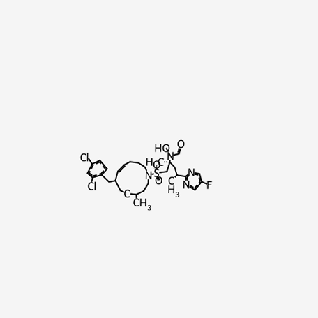 CC1CCC(Cc2ccc(Cl)cc2Cl)C=CCCCN(S(=O)(=O)C[C@](C)(C[C@H](C)c2ncc(F)cn2)N(O)C=O)CC1